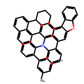 CC(C)(C)c1cc(-c2ccccc2N(c2ccccc2-c2ccc3c(c2)oc2ccccc23)c2ccccc2-c2cccc3cccc(C4CCCCC4)c23)cc(C(C)(C)C)c1